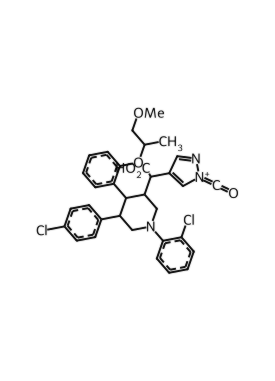 COCC(C)Oc1ccccc1C1C(c2ccc(Cl)cc2)CN(c2ccccc2Cl)CC1C(C(=O)O)C1=C[N+](=C=O)N=C1